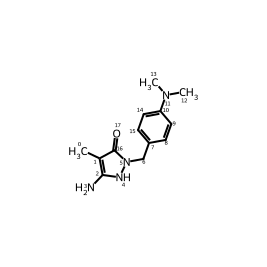 Cc1c(N)[nH]n(Cc2ccc(N(C)C)cc2)c1=O